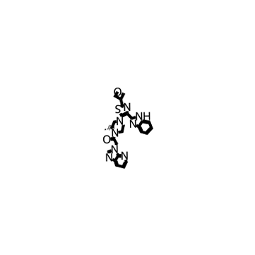 C[C@@H]1CN(c2sc(C3COC3)nc2-c2nc3ccccc3[nH]2)CCN1C(=O)Cn1cnc2cccnc21